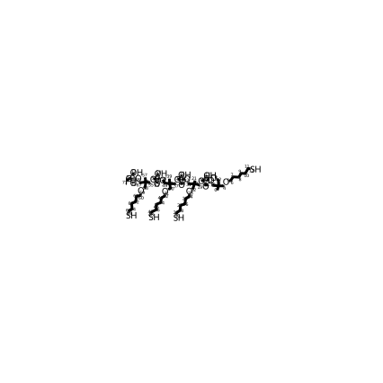 CC(CO)(COCCCCCCS)COP(=O)(O)OCC(C)(COCCCCCCS)COP(=O)(O)OCC(C)(COCCCCCCS)COP(=O)(O)OCC(C)(COCCCCCCS)COP(=O)(O)OI